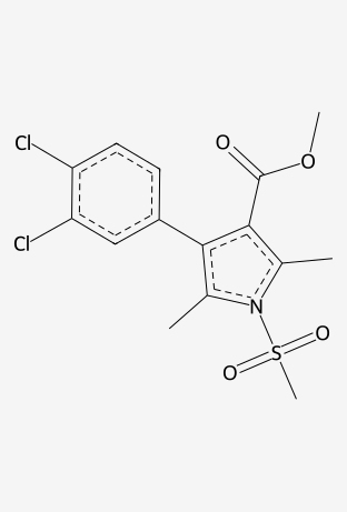 COC(=O)c1c(-c2ccc(Cl)c(Cl)c2)c(C)n(S(C)(=O)=O)c1C